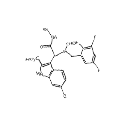 CC(C)(C)NC(=O)C(c1c(C(=O)O)[nH]c2cc(Cl)ccc12)N(C=O)Cc1cc(F)cc(F)c1F